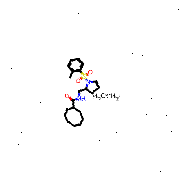 Cc1ccccc1S(=O)(=O)N1CCCC1CNC(=O)[C]1CCCCCCC1.[CH2].[CH2]